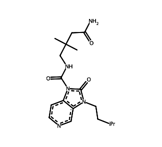 CC(C)CCn1c(=O)n(C(=O)NCC(C)(C)CC(N)=O)c2ccncc21